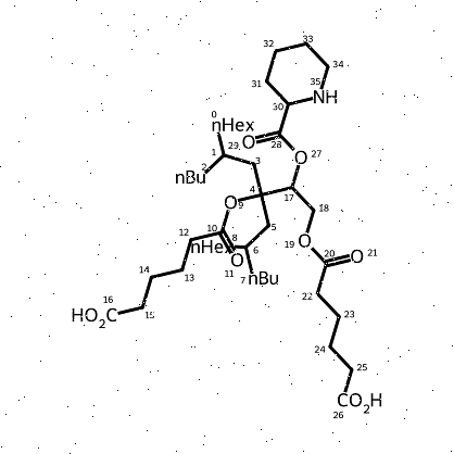 CCCCCCC(CCCC)CC(CC(CCCC)CCCCCC)(OC(=O)CCCCC(=O)O)C(COC(=O)CCCCC(=O)O)OC(=O)C1CCCCN1